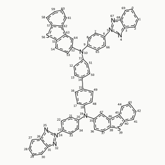 c1ccc2nn(-c3ccc(N(c4ccc(-c5ccc(N(c6ccc(-n7nc8ccccc8n7)cc6)c6ccc7sc8ccccc8c7c6)cc5)cc4)c4ccc5sc6ccccc6c5c4)cc3)nc2c1